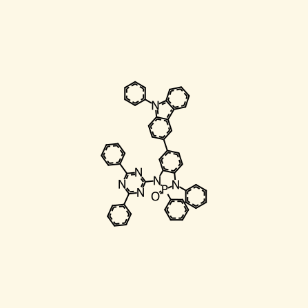 O=P1(c2ccccc2)N(c2ccccc2)c2ccc(-c3ccc4c(c3)c3ccccc3n4-c3ccccc3)cc2N1c1nc(-c2ccccc2)nc(-c2ccccc2)n1